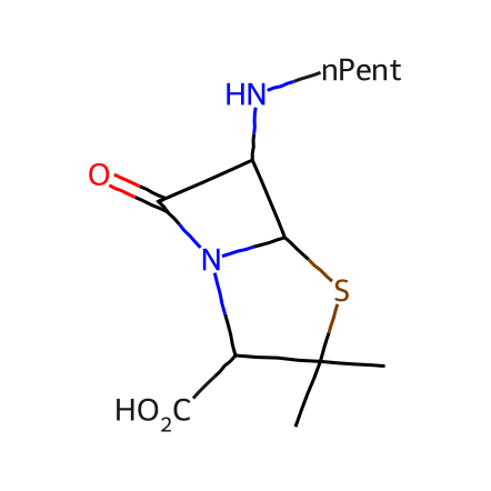 CCCCCNC1C(=O)N2C1SC(C)(C)C2C(=O)O